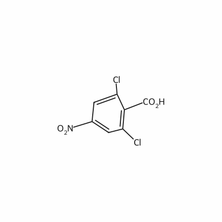 O=C(O)c1c(Cl)cc([N+](=O)[O-])cc1Cl